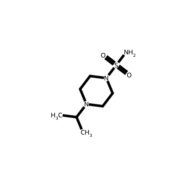 CC(C)N1CCN(S(N)(=O)=O)CC1